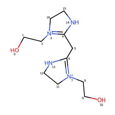 OCC[N+]1=C(CC2=[N+](CCO)CCN2)NCC1